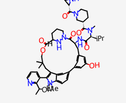 CCn1c(-c2cccnc2[C@H](C)OC)c2c3cc(ccc31)-c1cc(O)cc(c1)C[C@H](NC(=O)[C@H](C(C)C)N(C)C(=O)[C@H]1CCCN(C(=O)[C@@H]3CN3)C1)C(=O)N1CCC[C@H](N1)C(=O)OCC(C)(C)C2